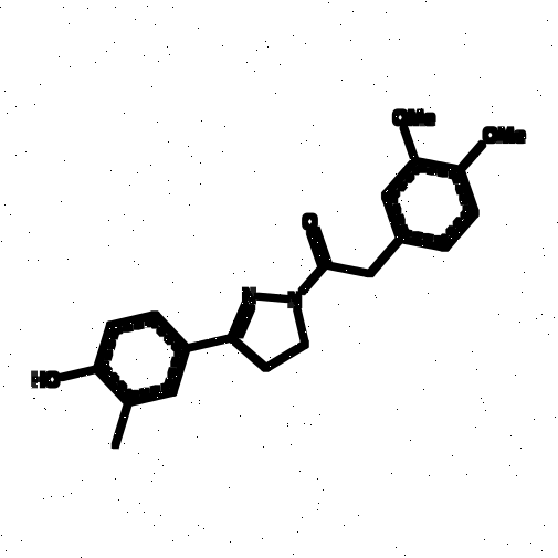 COc1ccc(CC(=O)N2CCC(c3ccc(O)c(C)c3)=N2)cc1OC